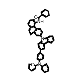 C1=CCC(N(c2ccccc2)c2ccc(-c3ccc4c(c3)c3ccccc3n4-c3ccc4c(ccc5ccc6c(c54)NC(C4=CCCC=C4)O6)c3)cc2)C=C1